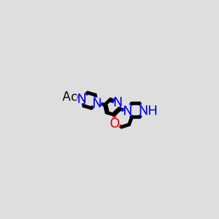 CC(=O)N1CCN(c2cnc3c(c2)OCCC2CNCCN32)CC1